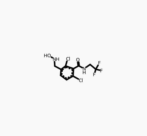 O=C(NCC(F)(F)F)c1c(Cl)ccc(CNO)c1Cl